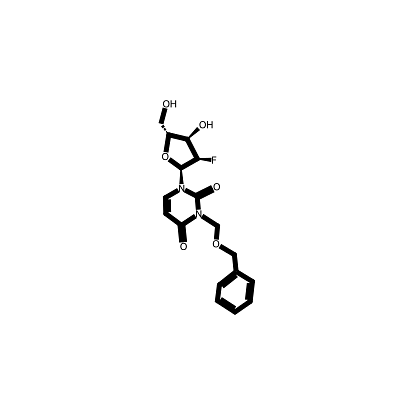 O=c1ccn([C@H]2O[C@H](CO)[C@@H](O)[C@H]2F)c(=O)n1COCc1ccccc1